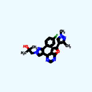 Cc1nn(C)cc1-c1cc2c(-c3cn(CC(C)(C)O)nc3-c3ccc(F)cc3)ncnc2o1